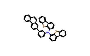 c1cc(-c2ccc3c(ccc4ccccc43)c2)cc(N(c2cccc3c2sc2ccccc23)c2cccc3c2sc2ccccc23)c1